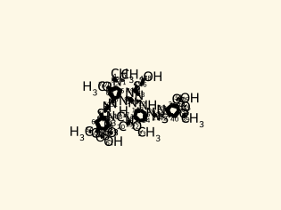 CCN(CC)c1cc(Nc2nc(Nc3cc(N(CC)CC)c(OC)cc3/N=N/c3nc4cc(S(=O)(=O)O)c(OC)cc4s3)nc(SCCO)n2)c(/N=N/c2nc3cc(S(=O)(=O)O)c(OC)cc3s2)cc1OC